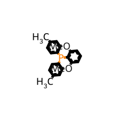 COc1cccc(OC)c1P(c1ccc(C)cc1)c1ccc(C)cc1